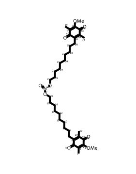 COC1=C(C)C(=O)C(CCCCCCCCCCO[N+](=O)OCCCCCCCCCCC2=C(C)C(=O)C(OC)=C(C)C2=O)=C(C)C1=O